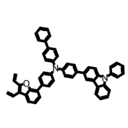 C=Cc1oc2c(-c3ccc(N(c4ccc(-c5ccccc5)cc4)c4ccc(-c5ccc6c(c5)c5ccccc5n6-c5ccccc5)cc4)cc3)cccc2c1C=C